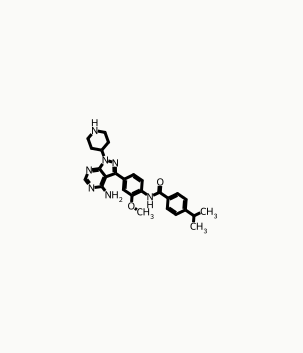 COc1cc(-c2nn(C3CCNCC3)c3ncnc(N)c23)ccc1NC(=O)c1ccc(C(C)C)cc1